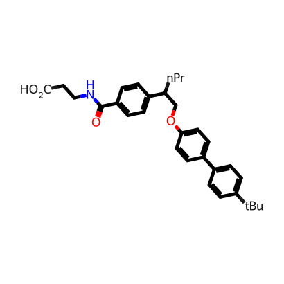 CCCC(COc1ccc(-c2ccc(C(C)(C)C)cc2)cc1)c1ccc(C(=O)NCCC(=O)O)cc1